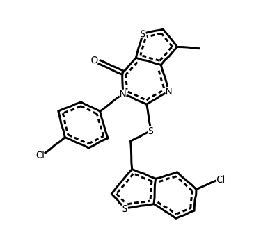 Cc1csc2c(=O)n(-c3ccc(Cl)cc3)c(SCc3csc4ccc(Cl)cc34)nc12